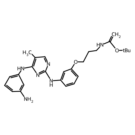 C=C(NCCCOc1cccc(Nc2ncc(C)c(Nc3cccc(N)c3)n2)c1)OC(C)(C)C